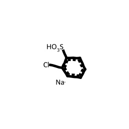 O=S(=O)(O)c1ccccc1Cl.[Na]